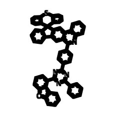 c1ccc(-c2nc(-c3ccc(-c4nc5ccccc5c5cc6c(cc45)-c4ccccc4C64c5ccccc5Sc5ccccc54)cc3)nc(-c3cccc4oc5ccccc5c34)n2)cc1